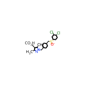 Cc1nn(Cc2ccc(C[S+]([O-])c3ccc(Cl)c(Cl)c3)cc2)c(C)c1CC(=O)O